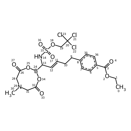 CCOC(=O)c1ccc(CC/C=C/C(NS(=O)(=O)OCC(Cl)(Cl)Cl)B2OC(=O)CN(C)CC(=O)O2)cc1